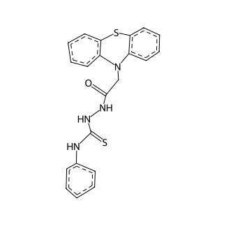 O=C(CN1c2ccccc2Sc2ccccc21)NNC(=S)Nc1ccccc1